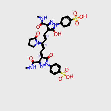 CNC(=O)C1=NN(c2ccc(S(=O)(=O)O)cc2)C(=O)\C1=C/C=C(/C=C/c1c(C(=O)NC)nn(-c2ccc(S(=O)(=O)O)cc2)c1O)N1CCCC1=O